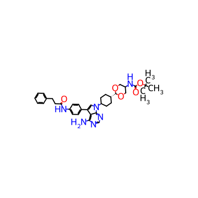 CC(C)(C)OC(=O)NC1COC([C@H]2CC[C@H](n3cc(-c4ccc(NC(=O)CCc5ccccc5)cc4)c4c(N)ncnc43)CC2)OC1